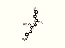 Cc1cc(-c2ccc(-c3cccc(CN)c3)s2)sc1-c1ccc(-c2sc(-c3ccc(-c4cccc(CN)c4)s3)cc2CC(=O)O)s1